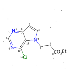 CCOC(=O)CCn1ccc2ncnc(Cl)c21